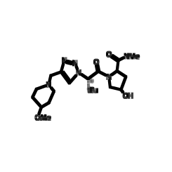 CNC(=O)C1CC(O)CN1C(=O)[C@@H](n1cc(CN2CCC(OC)CC2)nn1)C(C)(C)C